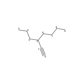 C#CC(CCC)CCCC